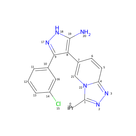 CC(C)c1nnc2ccc(-c3c(-c4cccc(Cl)c4)n[nH]c3N)cn12